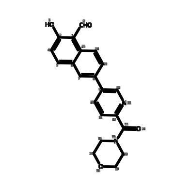 O=Cc1c(O)ccc2cc(-c3ccc(C(=O)N4CCOCC4)nc3)ccc12